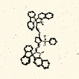 CN1/C(=C\C=C2/CCC(/C=C/C3=[N+](C)c4c(ccc5ccccc45)C34c3ccccc3-c3ccccc34)=C2S(=O)(=O)c2ccccc2)C2(c3ccccc3-c3ccccc32)c2ccc3ccccc3c21